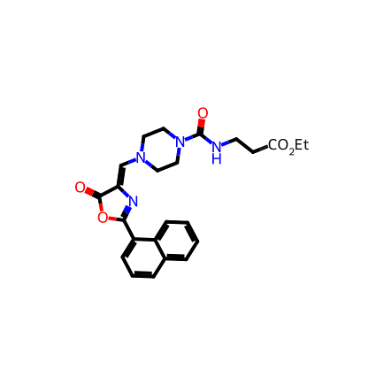 CCOC(=O)CCNC(=O)N1CCN(C=C2N=C(c3cccc4ccccc34)OC2=O)CC1